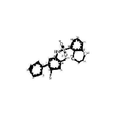 O=S(=O)(Nc1cc(-c2cc#ccc2)c(F)cc1F)c1cccc2c1OCCO2